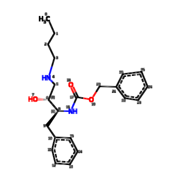 CCCCNC[C@@H](O)[C@H](Cc1ccccc1)NC(=O)OCc1ccccc1